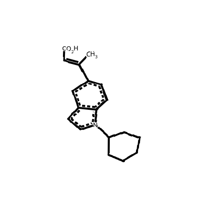 CC(=CC(=O)O)c1ccc2c(ccn2C2CCCCC2)c1